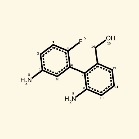 Nc1ccc(F)c(-c2c(N)c[c]cc2CO)c1